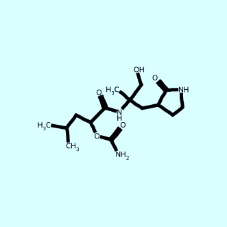 CC(C)CC(OC(N)=O)C(=O)NC(C)(CO)CC1CCNC1=O